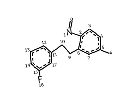 C=Nc1ccc(C)cc1CCc1cccc(F)c1